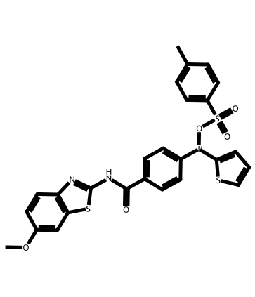 COc1ccc2nc(NC(=O)c3ccc([I+](OS(=O)(=O)c4ccc(C)cc4)c4cccs4)cc3)sc2c1